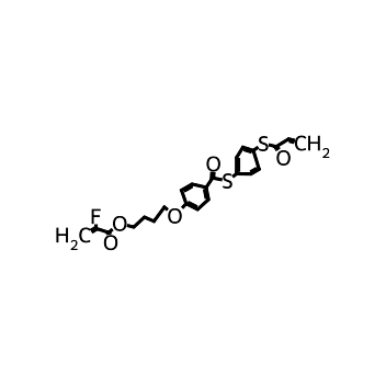 C=CC(=O)Sc1ccc(SC(=O)c2ccc(OCCCCOC(=O)C(=C)F)cc2)cc1